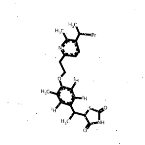 [2H]c1c([2H])c(C(C)C2SC(=O)NC2=O)c([2H])c(C)c1OCCc1ccc(C(C)C(C)C)c(C)n1